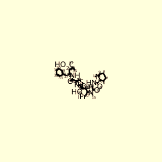 CC[C@H](C)[C@H](NC(=O)[C@H]1CCCCN1C)C(=O)N(C)C(C[C@@H](O)c1nc(C(=O)N[C@@H](Cc2ccccc2)C[C@H](C)C(=O)O)cs1)C(C)C